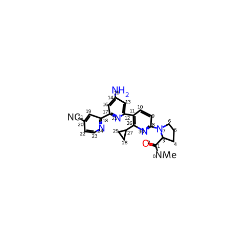 CNC(=O)C1CCCN1c1ccc(-c2cc(N)cc(-c3cc(C#N)ccn3)n2)c(C2CC2)n1